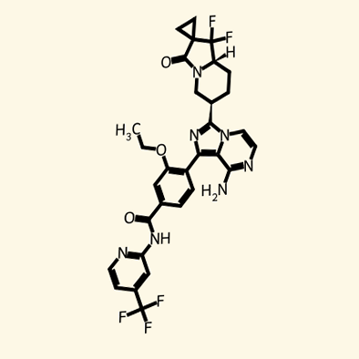 CCOc1cc(C(=O)Nc2cc(C(F)(F)F)ccn2)ccc1-c1nc([C@@H]2CC[C@@H]3N(C2)C(=O)C2(CC2)C3(F)F)n2ccnc(N)c12